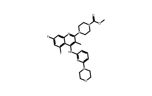 COC(=O)N1CCN(c2nc3cc(F)cc(F)c3c(Nc3cccc(N4CCOCC4)n3)c2C)CC1